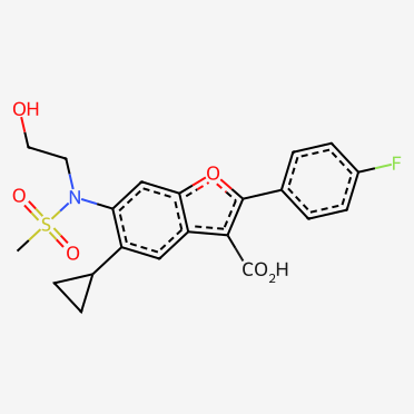 CS(=O)(=O)N(CCO)c1cc2oc(-c3ccc(F)cc3)c(C(=O)O)c2cc1C1CC1